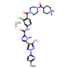 CNc1ccc(-n2cc(-c3cnc(C(=O)Nc4ccc(C(=O)N5CCN(C(=O)C6CC[N+](C)(C)CC6)CC5)c(Cl)c4)n3C)c(C(F)(F)F)n2)nc1.O=C[O-]